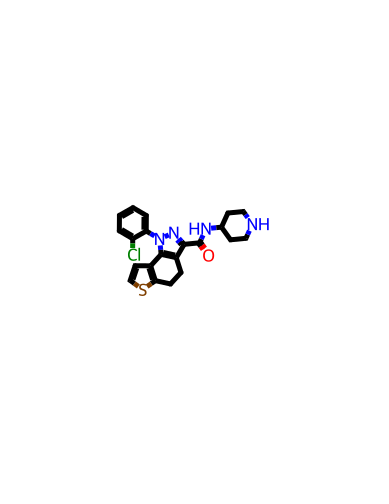 O=C(NC1CCNCC1)c1nn(-c2ccccc2Cl)c2c1CCc1sccc1-2